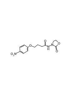 O=C(CCCOc1ccc([N+](=O)[O-])cc1)NN1CCOC1=O